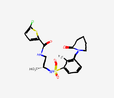 O=C(NC[C@H](NS(=O)(=O)c1cccc(N2CCCCC2=O)c1C(F)(F)F)C(=O)O)c1ccc(Cl)s1